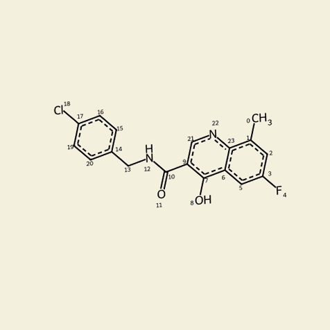 Cc1cc(F)cc2c(O)c(C(=O)NCc3ccc(Cl)cc3)cnc12